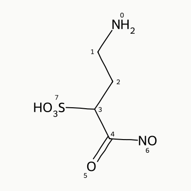 NCCC(C(=O)N=O)S(=O)(=O)O